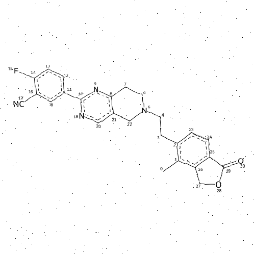 Cc1c(CCN2CCc3nc(-c4ccc(F)c(C#N)c4)ncc3C2)ccc2c1COC2=O